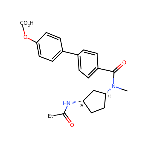 CCC(=O)N[C@H]1CC[C@@H](N(C)C(=O)c2ccc(-c3ccc(OC(=O)O)cc3)cc2)C1